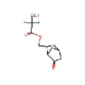 O=C1CC2CC(COC(=O)C(F)(F)S(=O)(=O)O)C1C2